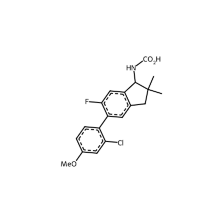 COc1ccc(-c2cc3c(cc2F)C(NC(=O)O)C(C)(C)C3)c(Cl)c1